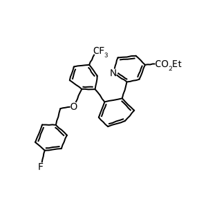 CCOC(=O)c1ccnc(-c2ccccc2-c2cc(C(F)(F)F)ccc2OCc2ccc(F)cc2)c1